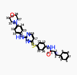 O=C(/C=C/c1ccccc1)Nc1ccc(Sc2ccnc(Nc3ccc(N4CCOCC4)cc3)n2)cc1